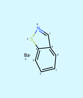 [Ba].c1ccc2sncc2c1